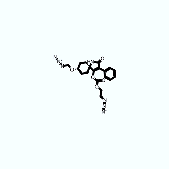 [N-]=[N+]=NCCOC(=O)OC1=C(c2ccccc2)C(=O)N[C@]12CC[C@@H](OCN=[N+]=[N-])CC2